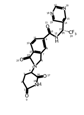 O=C1CCC(N2Cc3cc(C(=O)N[C@H](c4cncnc4)C(F)(F)F)ccc3C2=O)C(=O)N1